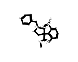 COC(=O)C1(c2c(Cl)cccc2[N+](=O)[O-])CCN(Cc2ccccc2)C1